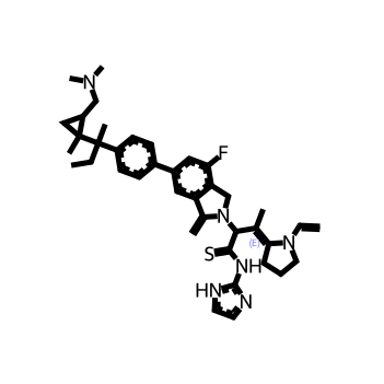 C=CN1CCC/C1=C(/C)C(C(=S)Nc1ncc[nH]1)N1Cc2c(F)cc(-c3ccc(C(C)(CC)C4(C)CC4CN(C)C)cc3)cc2C1=C